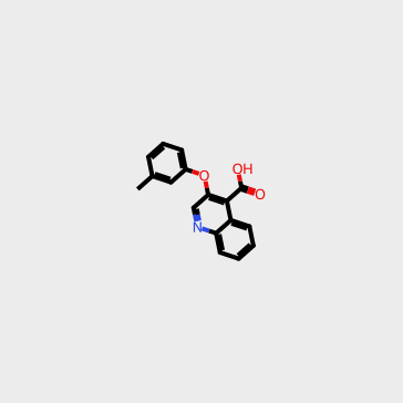 Cc1cccc(Oc2cnc3ccccc3c2C(=O)O)c1